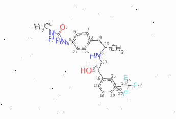 CNC(=O)Nc1ccc(CC(C)NCC(O)c2cccc(C(F)(F)F)c2)cc1